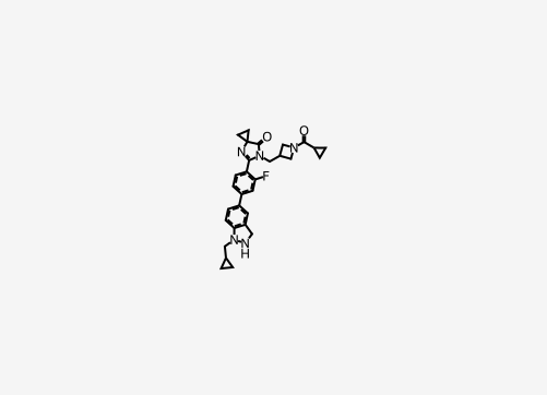 O=C(C1CC1)N1CC(CN2C(=O)C3(CC3)N=C2c2ccc(-c3ccc4c(c3)CNN4CC3CC3)cc2F)C1